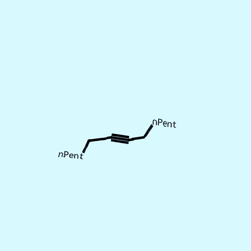 [CH2]CCCCCC#CCCCCCC